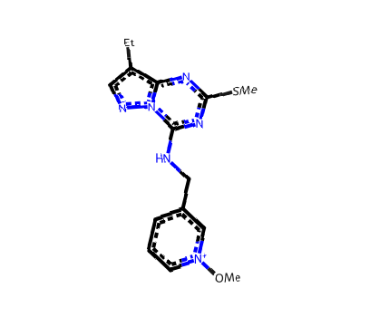 CCc1cnn2c(NCc3ccc[n+](OC)c3)nc(SC)nc12